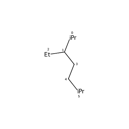 [CH2]C(C)C(CC)CCC(C)C